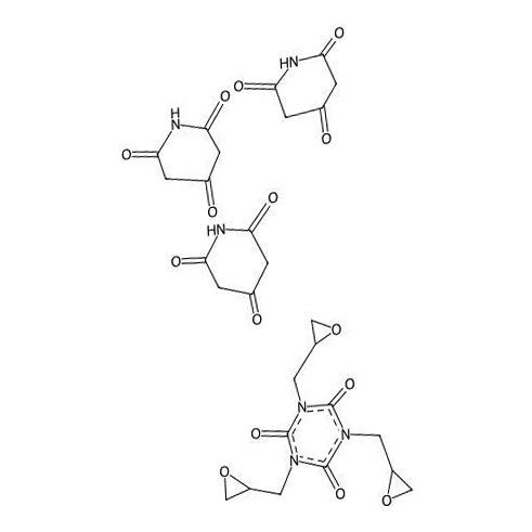 O=C1CC(=O)NC(=O)C1.O=C1CC(=O)NC(=O)C1.O=C1CC(=O)NC(=O)C1.O=c1n(CC2CO2)c(=O)n(CC2CO2)c(=O)n1CC1CO1